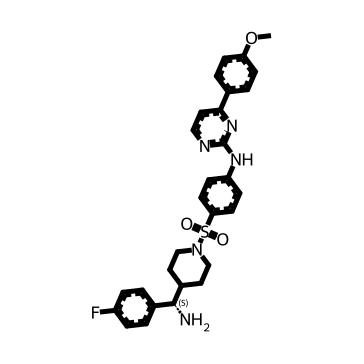 COc1ccc(-c2ccnc(Nc3ccc(S(=O)(=O)N4CCC([C@H](N)c5ccc(F)cc5)CC4)cc3)n2)cc1